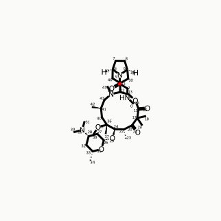 CNCC(=O)N1[C@@H]2CC[C@H]1CC(C1COC(=O)C(C)(C)C(=O)[C@H](C)[C@@H](O[C@H]3C[C@@H](N(C)C)C[C@@H](C)O3)[C@](C)(OC)C[C@@H](C)CN1C)C2